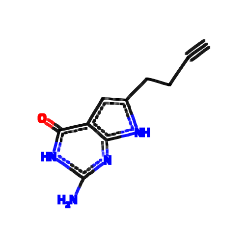 C#CCCc1cc2c(=O)[nH]c(N)nc2[nH]1